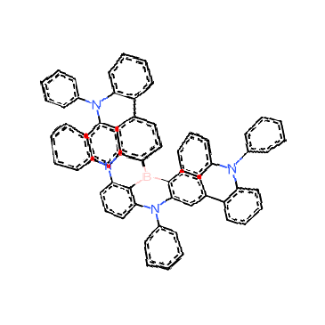 c1ccc(N(c2ccccc2)c2ccccc2-c2ccc3c(c2)N(c2ccccc2)c2cccc4c2B3c2ccc(-c3ccccc3N(c3ccccc3)c3ccccc3)cc2N4c2ccccc2)cc1